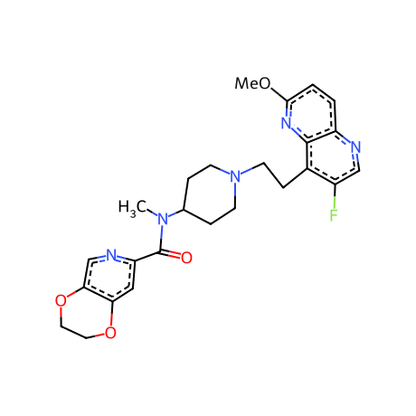 COc1ccc2ncc(F)c(CCN3CCC(N(C)C(=O)c4cc5c(cn4)OCCO5)CC3)c2n1